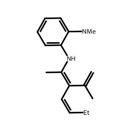 C=C(C)C(/C=C\CC)=C(/C)Nc1ccccc1NC